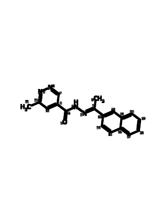 CC(=NNC(=O)c1cnnc(C)c1)c1ccc2ccccc2c1